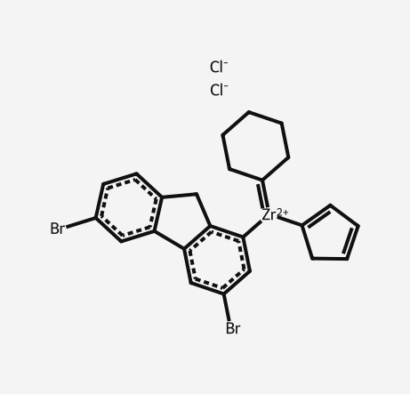 Brc1ccc2c(c1)-c1cc(Br)c[c]([Zr+2]([C]3=CC=CC3)=[C]3CCCCC3)c1C2.[Cl-].[Cl-]